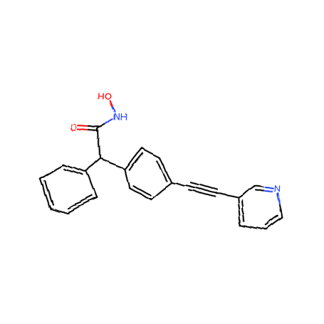 O=C(NO)C(c1ccccc1)c1ccc(C#Cc2cccnc2)cc1